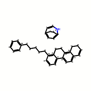 C1=CC2=CC=C(CC2)N1.C1=Cc2ccc3c(c2CC1)CCc1c(CCCCCc2ccccc2)cccc1-3